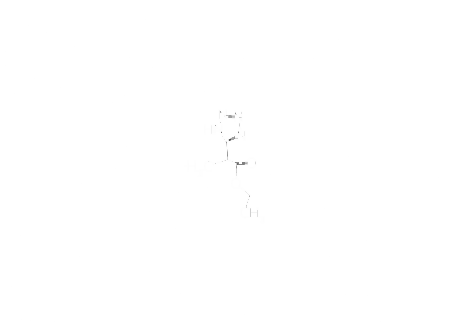 [CH2]C(C(=O)OCC)c1nnn[nH]1